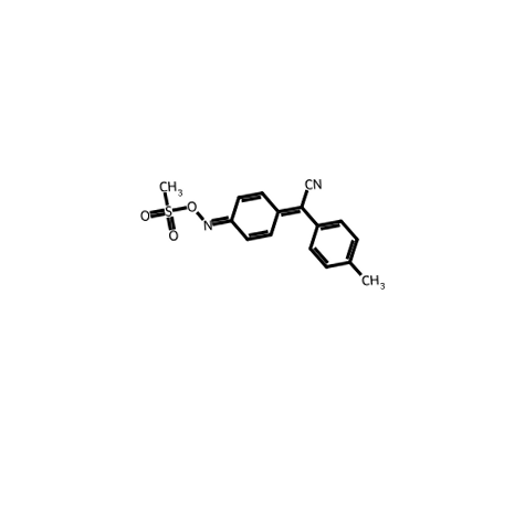 Cc1ccc(C(C#N)=C2C=CC(=NOS(C)(=O)=O)C=C2)cc1